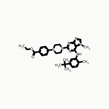 CCOC(=O)c1ccc(N2CCN(c3nc(Nc4cc(C(C)(C)C)ccc4C)c4c(ncn4C)n3)CC2)cc1